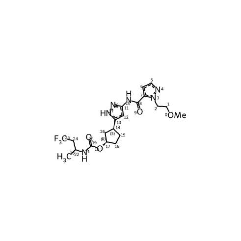 COCCn1nccc1C(=O)Nc1cc([C@H]2CC[C@@H](OC(=O)NC(C)CC(F)(F)F)C2)[nH]n1